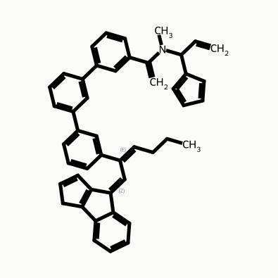 C=CC(C1=C=CC=C1)N(C)C(=C)c1cccc(-c2cccc(-c3cccc(C(/C=C4\C5=C(CC=C5)c5ccccc54)=C/CCC)c3)c2)c1